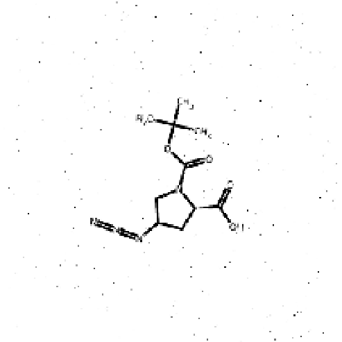 CC(C)(C)OC(=O)N1CC(N=[N+]=[N-])C[C@@H]1C(=O)O